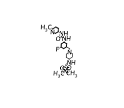 Cc1ccc(NC(=O)Nc2cc(F)cc(CN3CCC(NCS(=O)(=O)N(C)C)CC3)c2)cn1